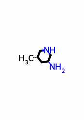 C[C@@H]1CNC[C@H](N)C1